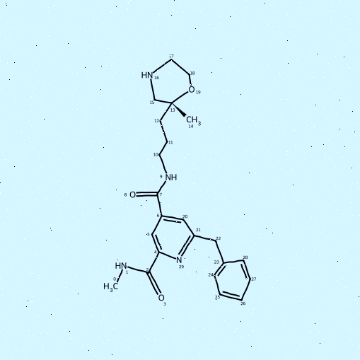 CNC(=O)c1cc(C(=O)NCCC[C@]2(C)CNCCO2)cc(Cc2ccccc2)n1